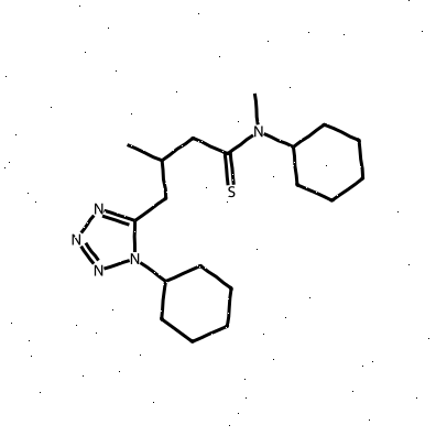 CC(CC(=S)N(C)C1CCCCC1)Cc1nnnn1C1CCCCC1